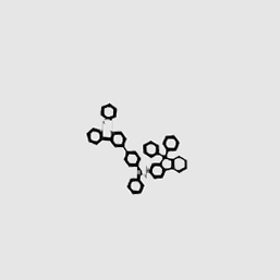 C1=CC2=C(CC1)C(c1ccccc1)(c1ccccc1)c1cc(N(c3ccccc3)c3ccc(-c4ccc5c(c4)c4ccccc4n5-c4ccccc4)cc3)ccc12